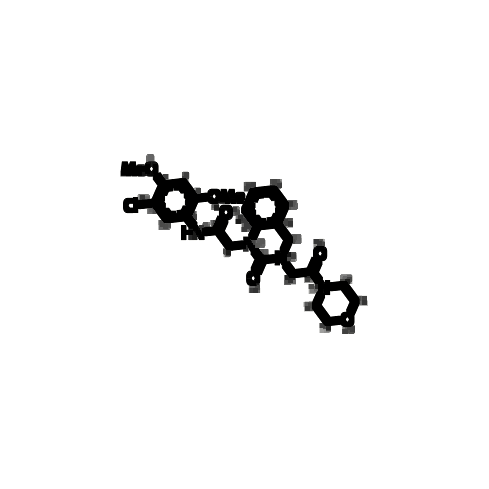 COc1cc(OC)c(NC(=O)CN2C(=O)N(CC(=O)N3CCOCC3)Cc3ccccc32)cc1Cl